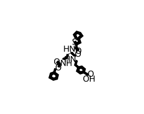 O=C(NCCC[C@H](NC(=O)c1cc2ccccc2s1)C(=O)NCCc1ccc(C(=O)O)cc1)OCc1ccccc1